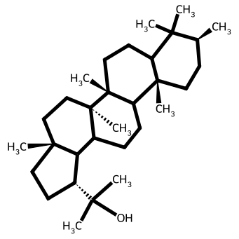 C[C@H]1CC[C@@]2(C)C(CC[C@]3(C)C2CCC2C4[C@H](C(C)(C)O)CC[C@]4(C)CC[C@]23C)C1(C)C